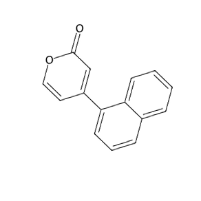 O=c1cc(-c2cccc3ccccc23)cco1